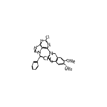 COc1cc2c(cc1OC)CN(c1nc(Cl)nc3ncn(C(C)c4ccccc4)c13)CC2